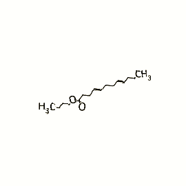 CCCC=CCCC=CCCC(=O)OCCCC